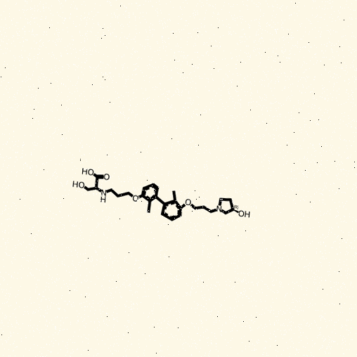 Cc1c(OCCCNC(CO)C(=O)O)cccc1-c1cccc(OCCCN2CC[C@@H](O)C2)c1C